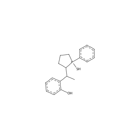 CC(c1ccccc1O)C1CCC[P]1(S)c1ccccc1